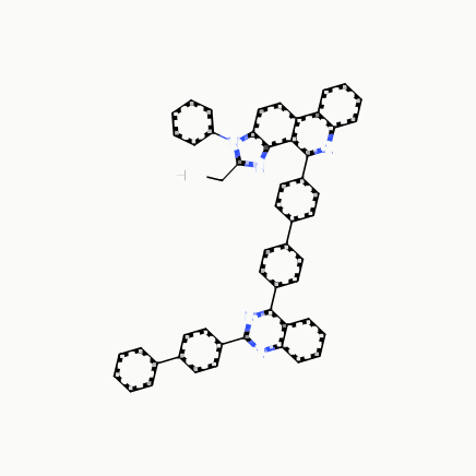 CCc1nc2c3c(-c4ccc(-c5ccc(-c6nc(-c7ccc(-c8ccccc8)cc7)nc7ccccc67)cc5)cc4)nc4ccccc4c3ccc2n1-c1ccccc1